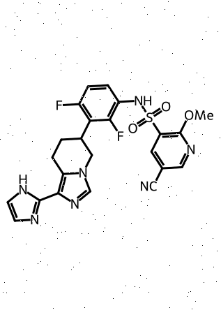 COc1ncc(C#N)cc1S(=O)(=O)Nc1ccc(F)c(C2CCc3c(-c4ncc[nH]4)ncn3C2)c1F